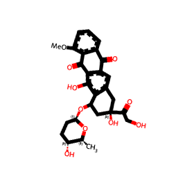 COc1cccc2c1C(=O)c1c(cc3c(c1O)C(O[C@@H]1CC[C@@H](O)[C@@H](C)O1)C[C@@](O)(C(=O)CO)C3)C2=O